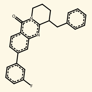 O=c1c2ccc(-c3cccc(F)c3)cc2nc2n1CCCC2Cc1ccccc1